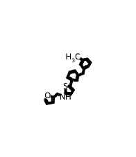 Cc1cccc(Cc2cccc(-c3ccc(NCc4ccco4)s3)c2)c1